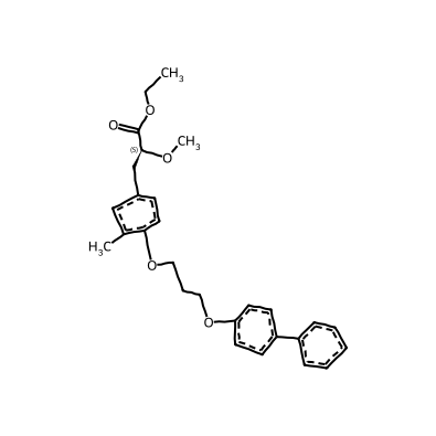 CCOC(=O)[C@H](Cc1ccc(OCCCOc2ccc(-c3ccccc3)cc2)c(C)c1)OC